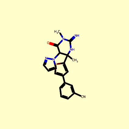 CN1C(=N)NC(C)(c2cc(-c3cccc(C#N)c3)cs2)C(n2cccn2)C1=O